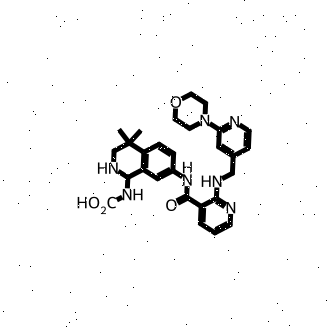 CC1(C)CNC(NC(=O)O)c2cc(NC(=O)c3cccnc3NCc3ccnc(N4CCOCC4)c3)ccc21